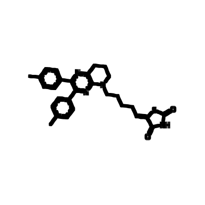 Cc1ccc(-c2nc3c(nc2-c2ccc(C)cc2)N(CCCC/C=C2\SC(=O)NC2=O)CCC3)cc1